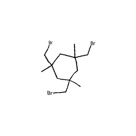 CC1(CBr)CC(C)(CBr)CC(C)(CBr)C1